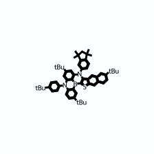 CC(C)(C)c1ccc(N2c3ccc(C(C)(C)C)cc3B3c4sc5cc6ccc(C(C)(C)C)cc6cc5c4N(c4ccc5c(c4)C(C)(C)CC5(C)C)c4cc(C(C)(C)C)cc2c43)cc1